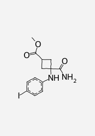 COC(=O)C1CC(Nc2ccc(I)cc2)(C(N)=O)C1